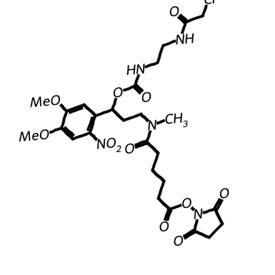 COc1cc(C(CCN(C)C(=O)CCCCC(=O)ON2C(=O)CCC2=O)OC(=O)NCCNC(=O)CCl)c([N+](=O)[O-])cc1OC